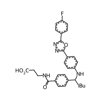 CCC(C)C(Nc1ccc(-c2nnc(-c3ccc(F)cc3)o2)cc1)c1ccc(C(=O)NCCC(=O)O)cc1